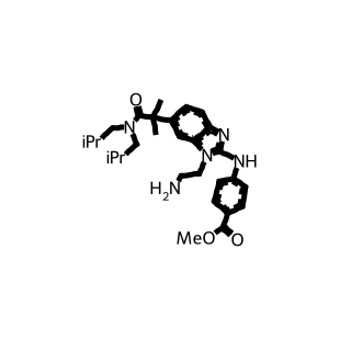 COC(=O)c1ccc(Nc2nc3ccc(C(C)(C)C(=O)N(CC(C)C)CC(C)C)cc3n2CCN)cc1